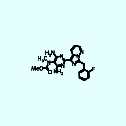 COC(=O)N(C)c1c(N)nc(-c2nc(Cc3ccccc3F)n3ncccc23)nc1N